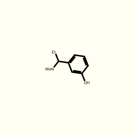 CCC(NC)c1cccc(O)c1